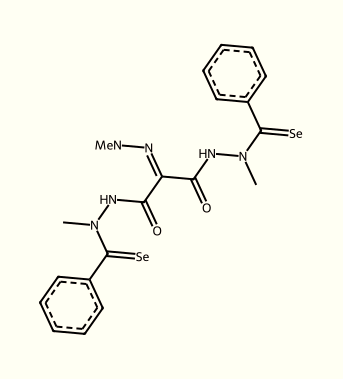 CNN=C(C(=O)NN(C)C(=[Se])c1ccccc1)C(=O)NN(C)C(=[Se])c1ccccc1